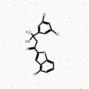 CC(O)(CC(=O)c1cc2c(Cl)cccc2s1)c1cc(Cl)cc(Cl)c1